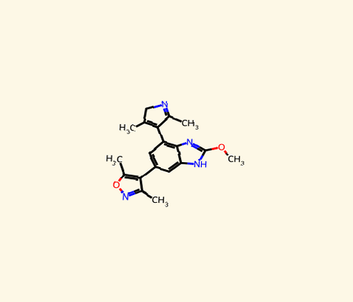 COc1nc2c(C3=C(C)CN=C3C)cc(-c3c(C)noc3C)cc2[nH]1